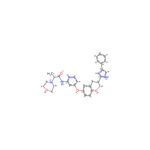 CC(C(=O)Nc1cc(Oc2ccc3c(c2)CC(c2nc(-c4ccccc4)c[nH]2)CO3)ccn1)N1CCOCC1